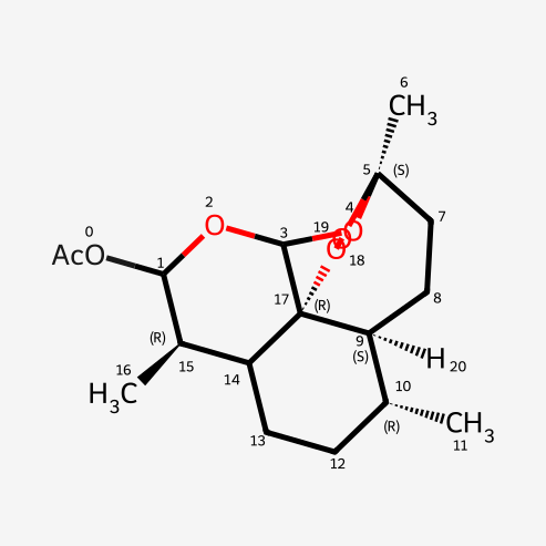 CC(=O)OC1OC2O[C@]3(C)CC[C@H]4[C@H](C)CCC([C@H]1C)[C@@]24OO3